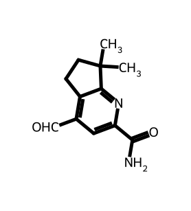 CC1(C)CCc2c(C=O)cc(C(N)=O)nc21